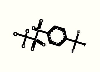 O=S(=O)(c1ccc(C(F)(F)F)cc1)S(=O)(=O)C(Cl)(Cl)Cl